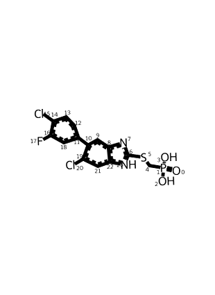 O=P(O)(O)CSc1nc2cc(-c3ccc(Cl)c(F)c3)c(Cl)cc2[nH]1